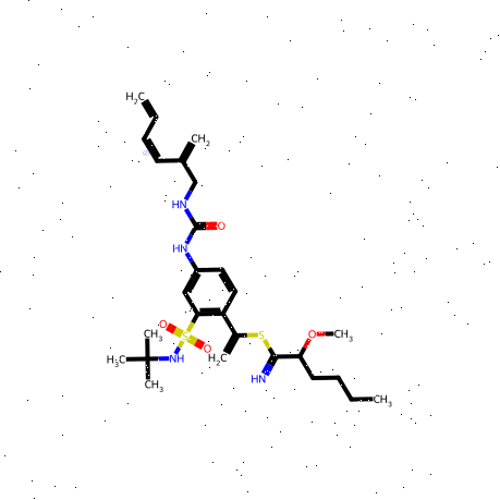 C=C/C=C\C(=C)CNC(=O)Nc1ccc(C(=C)SC(=N)C(CCCC)OC)c(S(=O)(=O)NC(C)(C)C)c1